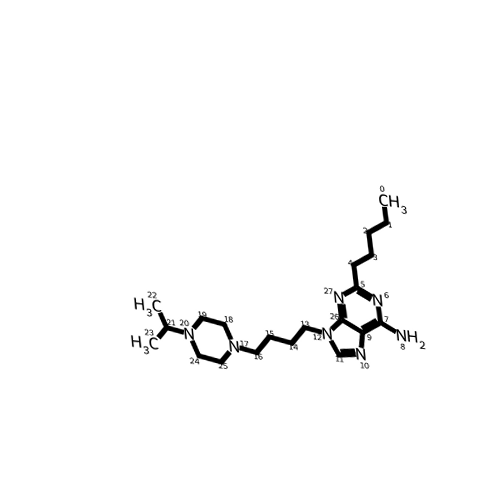 CCCCCc1nc(N)c2ncn(CCCCN3CCN(C(C)C)CC3)c2n1